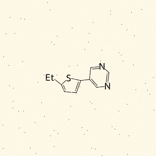 CCc1ccc(-c2cncnc2)s1